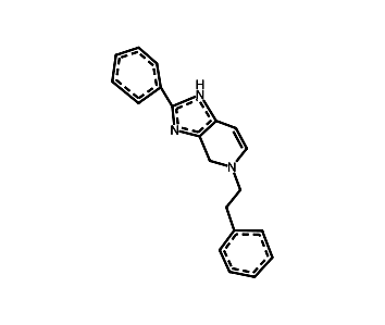 C1=CN(CCc2ccccc2)Cc2nc(-c3ccccc3)[nH]c21